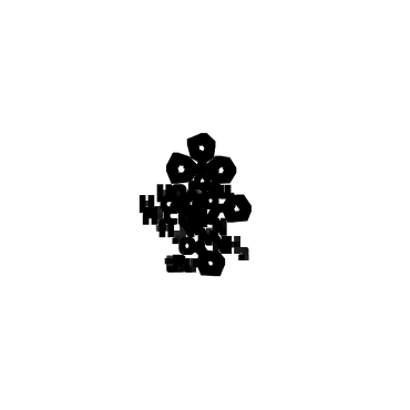 CC(C)(C)c1ccccc1C(=O)C1=C([C@@H]2O[C@H](COC(c3ccccc3)(c3ccccc3)c3ccccc3)[C@]3(O)C(C)(C)[C@]23O)C(N)N(C(=O)c2ccccc2C(C)(C)C)C(N)=N1